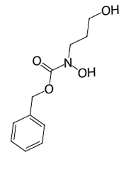 O=C(OCc1ccccc1)N(O)CCCO